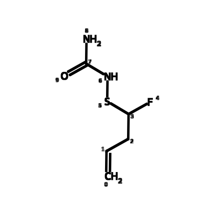 C=CCC(F)SNC(N)=O